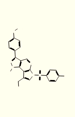 CCc1cn(S(=O)(=O)c2ccc(C)cc2)c2ncc3c(-c4ccc(OC)cc4)nn(C)c3c12